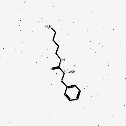 NCCCCNC(=O)[C@H](S)Cc1ccccc1